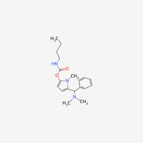 CCCCNC(=O)Oc1ccc(C(c2ccccc2)N(C)C)n1C